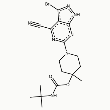 CC(C)(C)NC(=O)OC1(C)CCN(c2nc(C#N)c3c(Br)n[nH]c3n2)CC1